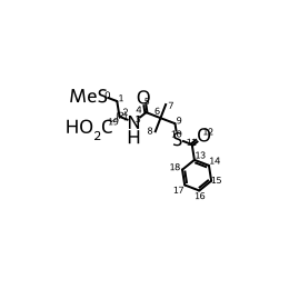 CSC[C@H](NC(=O)C(C)(C)CSC(=O)c1ccccc1)C(=O)O